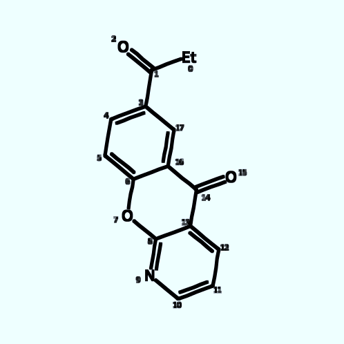 CCC(=O)c1ccc2oc3ncccc3c(=O)c2c1